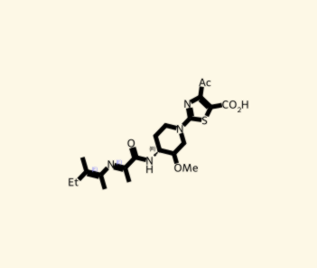 CC/C(C)=C(C)/N=C(\C)C(=O)N[C@@H]1CCN(c2nc(C(C)=O)c(C(=O)O)s2)CC1OC